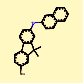 CC(C)(C)c1ccc2c(c1)C(C)(C)c1cc(Nc3ccc4ccccc4c3)ccc1-2